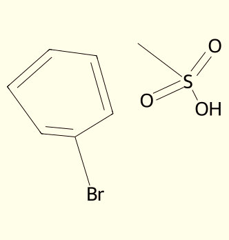 Brc1ccccc1.CS(=O)(=O)O